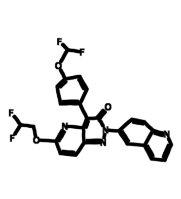 O=c1c(-c2ccc(OC(F)F)cc2)c2nc(OCC(F)F)ccc2nn1-c1ccc2ncccc2c1